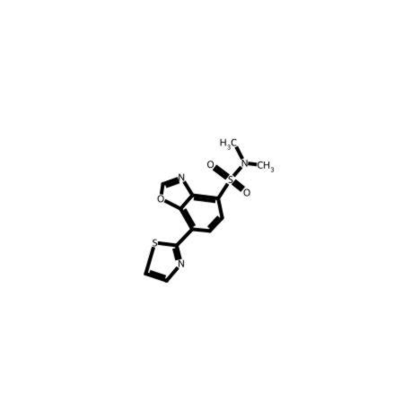 CN(C)S(=O)(=O)c1ccc(-c2nccs2)c2ocnc12